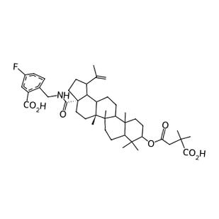 C=C(C)C1CC[C@]2(C(=O)NCc3ccc(F)cc3C(=O)O)CC[C@]3(C)C(CCC4C5(C)CCC(OC(=O)CC(C)(C)C(=O)O)C(C)(C)C5CCC43C)C12